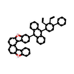 C=Cc1c(-c2ccccc2)ccc(-c2c3ccccc3c(-c3ccc4c(c3)oc3ccc5ccc6oc7ccccc7c6c5c34)c3ccccc23)c1C=C